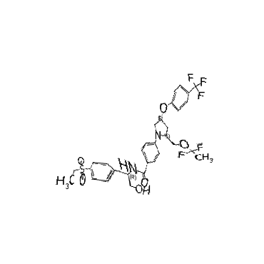 CCS(=O)(=O)c1ccc([C@H](CO)NC(=O)c2ccc(N3C[C@H](Oc4ccc(C(F)(F)F)cc4)C[C@H]3COC(C)(F)F)cc2)cc1